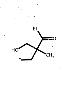 CCC(=O)C(C)(CO)CF